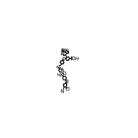 CN(CCc1ccc(Oc2ccc(C(C)(C)O)cc2-c2cn(C)c(=O)c3[nH]ccc23)cc1)c1ccc(C(=O)NC2CCC(Oc3ccc(C#N)c(Cl)c3)CC2)nn1